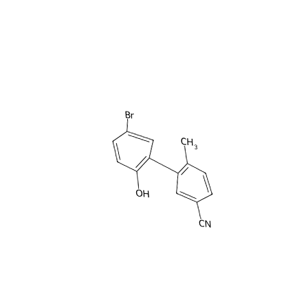 Cc1ccc(C#N)cc1-c1cc(Br)ccc1O